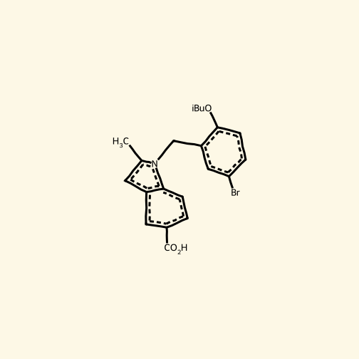 Cc1cc2cc(C(=O)O)ccc2n1Cc1cc(Br)ccc1OCC(C)C